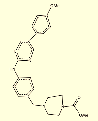 COC(=O)N1CCN(Cc2ccc(Nc3ncc(-c4ccc(OC)cc4)cn3)cc2)CC1